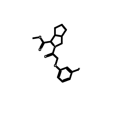 COC(=O)C1C2CCCC2CN1C(=O)COc1cccc(F)c1